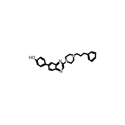 Oc1ccc(-c2ccc3ncc(N4CCN(CCCc5ccccc5)CC4)nc3c2)cc1